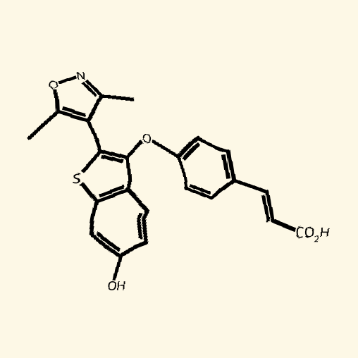 Cc1noc(C)c1-c1sc2cc(O)ccc2c1Oc1ccc(C=CC(=O)O)cc1